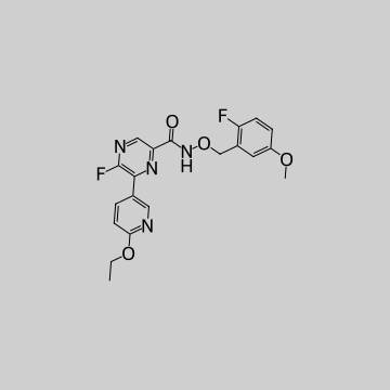 CCOc1ccc(-c2nc(C(=O)NOCc3cc(OC)ccc3F)cnc2F)cn1